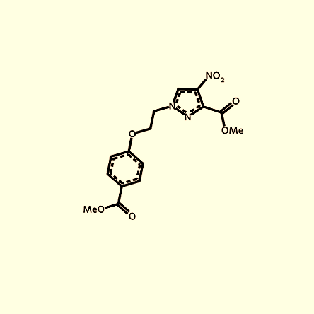 COC(=O)c1ccc(OCCn2cc([N+](=O)[O-])c(C(=O)OC)n2)cc1